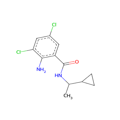 CC(NC(=O)c1cc(Cl)cc(Cl)c1N)C1CC1